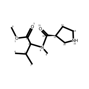 COC(=O)C(C(C)C)N(C)C(=O)[C@H]1CCNC1